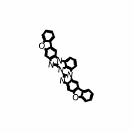 c1ccc2c(c1)oc1cc3nc4n(c3cc12)c1cccc2c1n4c1nc3cc4oc5ccccc5c4cc3n21